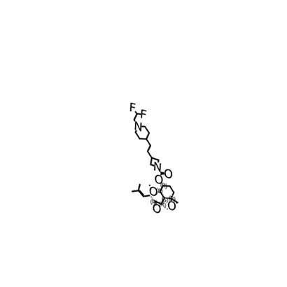 CO[C@@H]1[C@H](OC(=O)N2CC(CCC3CCN(CC(F)F)CC3)C2)CC[C@]2(CO2)[C@H]1[C@@]1(C)O[C@@H]1CC=C(C)C